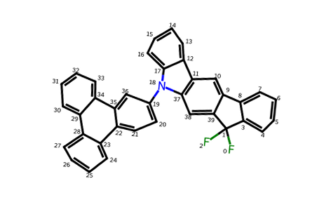 FC1(F)c2ccccc2-c2cc3c4ccccc4n(-c4ccc5c6ccccc6c6ccccc6c5c4)c3cc21